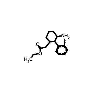 CCOC(=O)CC1CCCC(N)C1c1ccccc1F